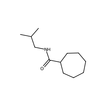 CC(C)CNC(=O)C1CCCCCC1